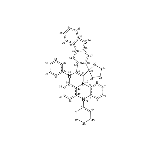 C1=CC(N2c3ccccc3B3C4=C(c5cc6c(cc5C45CCCC5)sc4ccccc46)N(c4ccccc4)c4cccc2c43)=CCC1